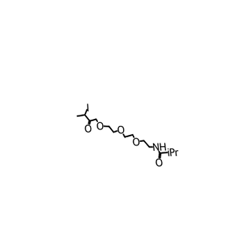 CC(C)C(=O)NCCOCCOCCOCC(=O)C(C)I